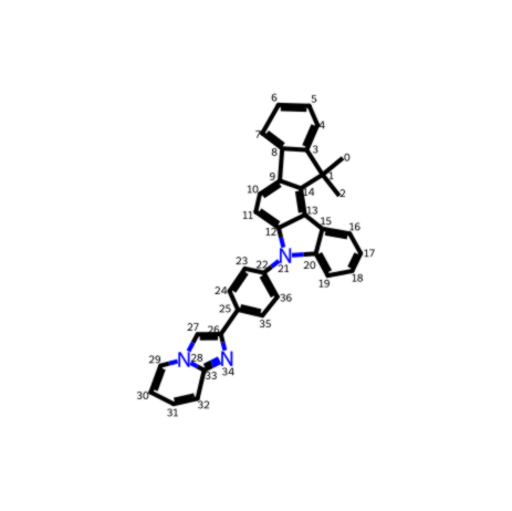 CC1(C)c2ccccc2-c2ccc3c(c21)c1ccccc1n3-c1ccc(-c2cn3ccccc3n2)cc1